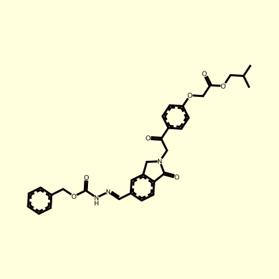 CC(C)COC(=O)COc1ccc(C(=O)CN2Cc3cc(C=NNC(=O)OCc4ccccc4)ccc3C2=O)cc1